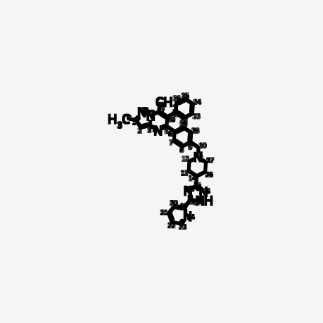 Cc1cc2nc(-c3ccc(CN4CCC(c5n[nH]c(-c6ccccn6)n5)CC4)cc3)c(-c3ccccc3)c(C)n2n1